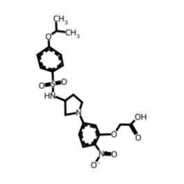 CC(C)Oc1ccc(S(=O)(=O)NC2CCN(c3ccc([N+](=O)[O-])c(OCC(=O)O)c3)C2)cc1